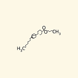 CCCCCCCC12CCC([C@H]3CC[C@H](C(=O)OCCCC)CC3)(CC1)CC2